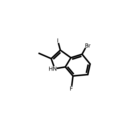 Cc1[nH]c2c(F)ccc(Br)c2c1I